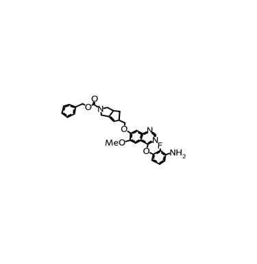 COc1cc2c(Oc3cccc(N)c3F)ncnc2cc1OCC1C=C2CN(C(=O)OCc3ccccc3)CC2C1